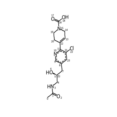 CC(=O)NC[C@@H](O)Cc1cnc(C2=CCN(C(=O)O)CC2)c(Cl)c1